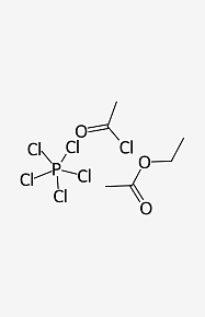 CC(=O)Cl.CCOC(C)=O.ClP(Cl)(Cl)(Cl)Cl